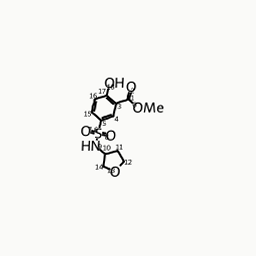 COC(=O)c1cc(S(=O)(=O)NC2CCOC2)ccc1O